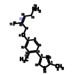 Cc1nc(-c2ccc(OC/C(F)=C\CN)cc2C)cs1